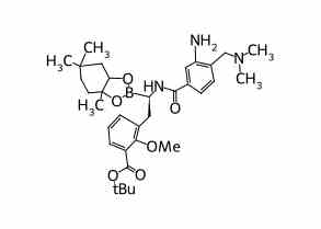 COc1c(C[C@H](NC(=O)c2ccc(CN(C)C)c(N)c2)B2OC3CC(C)(C)CCC3(C)O2)cccc1C(=O)OC(C)(C)C